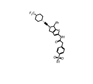 CCS(=O)(=O)c1ccc(CC(=O)Nc2cc3c(s2)C(C(C)C)N(C#C[C@H]2CC[C@H](C(F)(F)F)CC2)C3)cc1